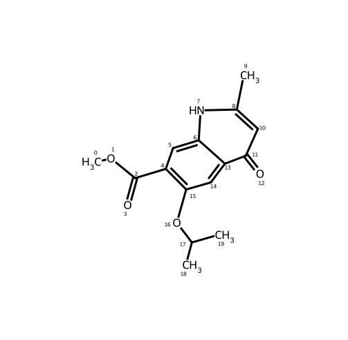 COC(=O)c1cc2[nH]c(C)cc(=O)c2cc1OC(C)C